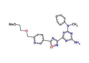 COCCOCc1ccc(-c2nc(-c3nc(N)nc(N(C)c4ccccc4)n3)no2)cn1